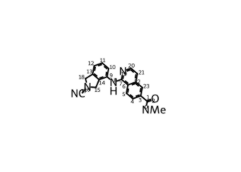 CNC(=O)c1ccc2c(Nc3cccc4c3CN(C#N)C4)nccc2c1